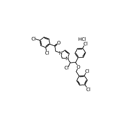 Cl.O=C(CN1C=CN(C(Cl)C(OCc2ccc(Cl)cc2Cl)c2ccc(Cl)cc2)C1)c1ccc(Cl)cc1Cl